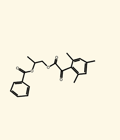 Cc1cc(C)c(C(=O)C(=O)OCC(C)OC(=O)c2ccccc2)c(C)c1